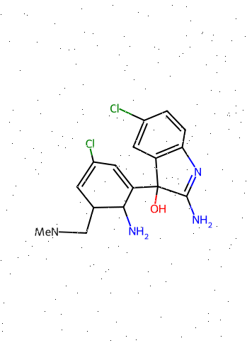 CNCC1C=C(Cl)C=C(C2(O)C(N)=Nc3ccc(Cl)cc32)C1N